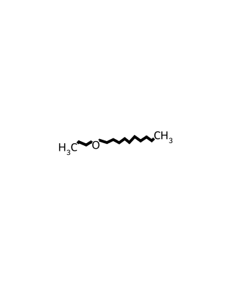 CCCCCCCCCCCOCCCC